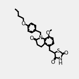 CCCCOc1ccc(CN2C(=O)CCc3c(CC4SC(=O)NC4=O)ccc(OC)c32)cc1